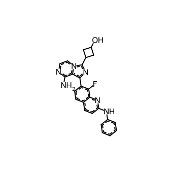 Nc1nccn2c(C3CC(O)C3)nc(-c3ccc4ccc(Nc5ccccc5)nc4c3F)c12